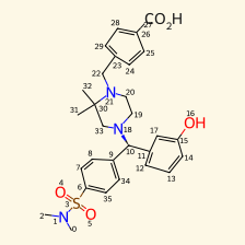 CN(C)S(=O)(=O)c1ccc([C@H](c2cccc(O)c2)N2CCN(Cc3ccc(C(=O)O)cc3)C(C)(C)C2)cc1